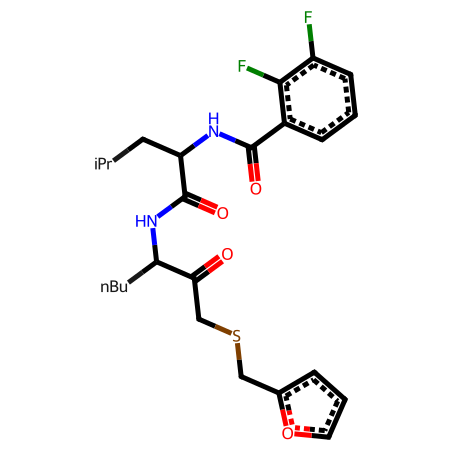 CCCCC(NC(=O)C(CC(C)C)NC(=O)c1cccc(F)c1F)C(=O)CSCc1ccco1